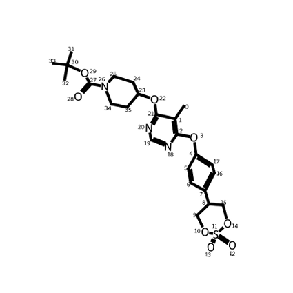 Cc1c(Oc2ccc(C3COS(=O)(=O)OC3)cc2)ncnc1OC1CCN(C(=O)OC(C)(C)C)CC1